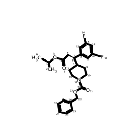 CC(C)OC(=O)C[C@@H](c1cc(F)cc(F)c1)C1CCN(C(=O)OCc2ccccc2)CC1